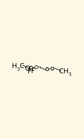 CCCCCc1ccc(-c2ccc(CC/C=C/C3CCC(c4ccc(OCCCC)c(F)c4F)CC3)cc2)cc1